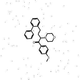 CSc1ccc(C(=O)C(CCc2ccccc2-c2ccccc2)N2CCOCC2)cc1